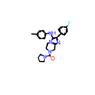 Cc1ccc(Nc2c(-c3ccc(F)cc3)nc3n2CCN(C(=O)N2CCCC2)C3)cc1